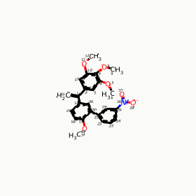 C=C(c1cc(OC)c(OC)c(OC)c1)c1ccc(OC)c(-c2cccc([N+](=O)[O-])c2)c1